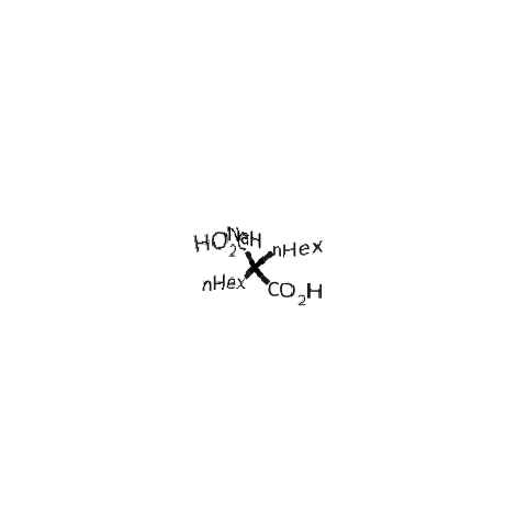 CCCCCCC(CCCCCC)(C(=O)O)C(=O)O.[NaH]